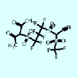 CC(=O)C(C(C)=O)S(=O)(=O)C(F)(F)C(F)(F)C(F)(F)S(=O)(=O)C(C#N)S(=O)(=O)C(F)(F)F